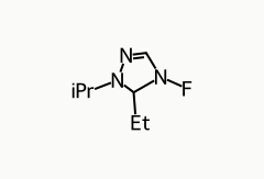 CCC1N(F)C=NN1C(C)C